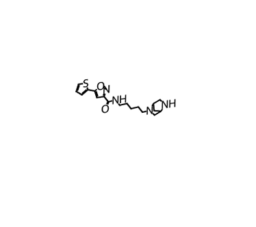 O=C(NCCCCCN1CC2CC1CN2)c1cc(-c2cccs2)on1